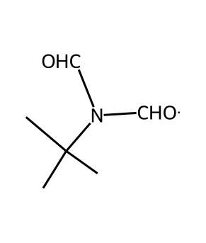 CC(C)(C)N([C]=O)C=O